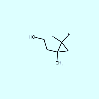 CC1(CCO)CC1(F)F